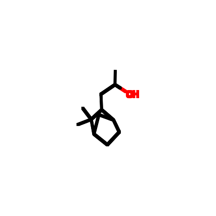 CC(O)CC1C2CCC(C2)C1(C)C